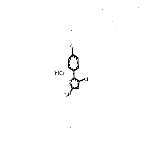 Cl.Nc1cc(Cl)c(-c2ccc(Cl)cc2)s1